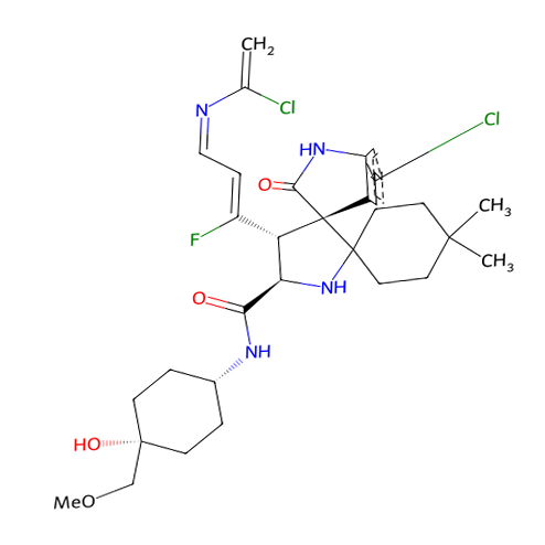 C=C(Cl)/N=C\C=C(/F)[C@H]1[C@H](C(=O)N[C@H]2CC[C@](O)(COC)CC2)NC2(CCC(C)(C)CC2)[C@@]12C(=O)Nc1cc(Cl)ccc12